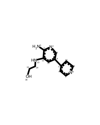 Nc1ncc(-c2ccncc2)cc1NCCO